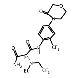 CCN(CC(F)(F)F)[C@H](C(N)=O)C(=O)Nc1ccc(N2CCOCC2=O)cc1C(F)(F)F